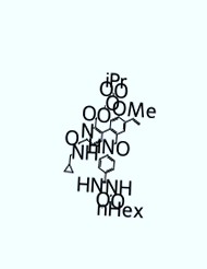 C=Cc1cc(C(=O)Nc2ccc(C(=N)NC(=O)OCCCCCC)cc2)c(-c2ccc(C(=O)NCC3CC3)nc2C(=O)OCOC(=O)OC(C)C)cc1OC